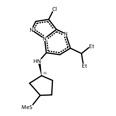 CCC(CC)c1cc(N[C@H]2CCC(SC)C2)n2ncc(Cl)c2n1